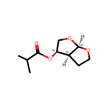 CC(C)C(=O)O[C@H]1CO[C@H]2OCC[C@H]21